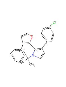 CC(C)(C)n1ccc(-c2ccc(Cl)cc2)c1-c1occc1-c1ccccc1